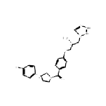 N[C@H](COc1ccc(C(=O)N2CC[C@H](c3ccc(F)cc3)C2)cc1)CN1C=NNN1